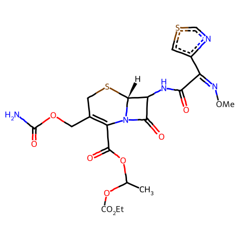 CCOC(=O)OC(C)OC(=O)C1=C(COC(N)=O)CS[C@@H]2C(NC(=O)/C(=N\OC)c3cscn3)C(=O)N12